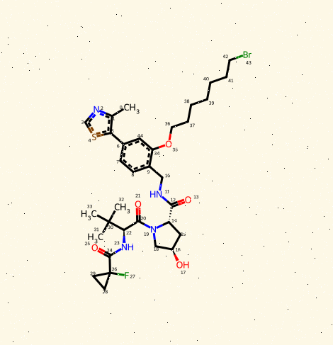 Cc1ncsc1-c1ccc(CNC(=O)[C@@H]2C[C@@H](O)CN2C(=O)[C@@H](NC(=O)C2(F)CC2)C(C)(C)C)c(OCCCCCCCBr)c1